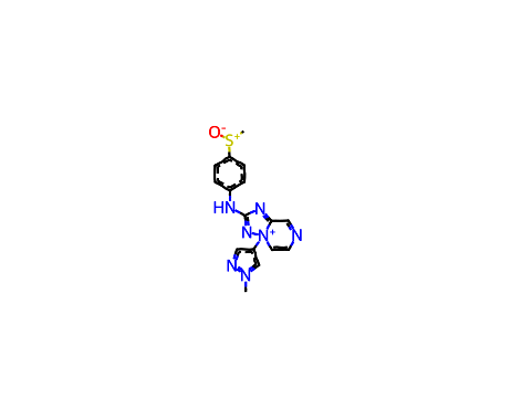 Cn1cc([N+]23C=CN=CC2=NC(Nc2ccc([S+](C)[O-])cc2)=N3)cn1